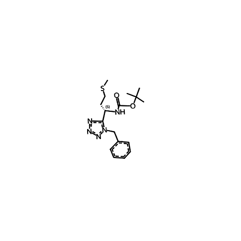 CSCC[C@H](NC(=O)OC(C)(C)C)c1nnnn1Cc1ccccc1